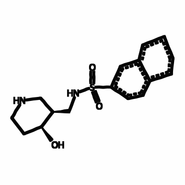 O=S(=O)(NC[C@@H]1CNCC[C@@H]1O)c1ccc2ccccc2c1